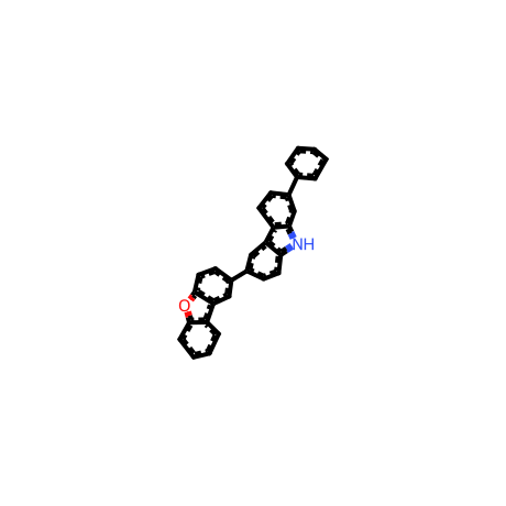 c1ccc(-c2ccc3c(c2)[nH]c2ccc(-c4ccc5oc6ccccc6c5c4)cc23)cc1